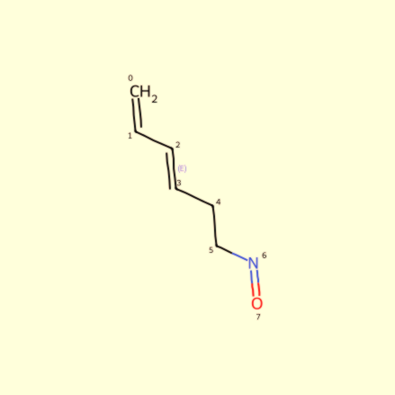 C=C/C=C/CCN=O